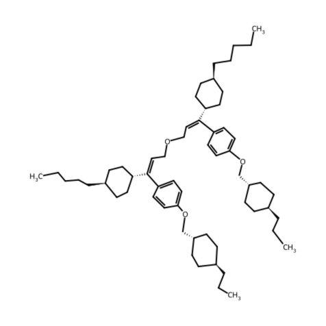 CCCCC[C@H]1CC[C@H](C(=CCOCC=C(c2ccc(OC[C@H]3CC[C@H](CCC)CC3)cc2)[C@H]2CC[C@H](CCCCC)CC2)c2ccc(OC[C@H]3CC[C@H](CCC)CC3)cc2)CC1